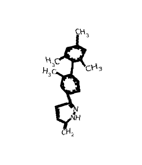 C=C1C=CC(c2ccc(-c3c(C)cc(C)cc3C)c(C)c2)=NN1